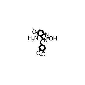 COc1ccc2nc(O)nc(Cc3ccc4c(c3)OCO4)c2c1N